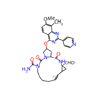 COc1ccc2c(OC3CC4C(=O)NC5([C]=O)CC5/C=C/CCCCN(C(N)=O)C(=O)N4C3)nc(-c3ccncc3)nc2c1C